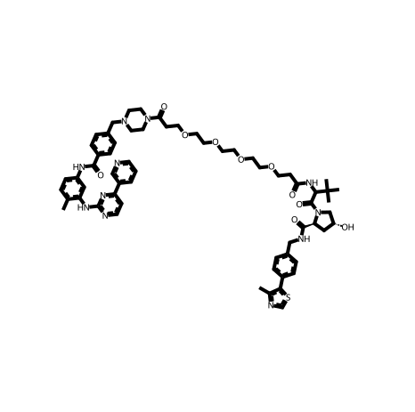 Cc1ccc(NC(=O)c2ccc(CN3CCN(C(=O)CCOCCOCCOCCOCCC(=O)NC(C(=O)N4C[C@H](O)C[C@H]4C(=O)NCc4ccc(-c5scnc5C)cc4)C(C)(C)C)CC3)cc2)cc1Nc1nccc(-c2cccnc2)n1